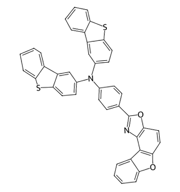 c1ccc2c(c1)oc1ccc3oc(-c4ccc(N(c5ccc6sc7ccccc7c6c5)c5ccc6sc7ccccc7c6c5)cc4)nc3c12